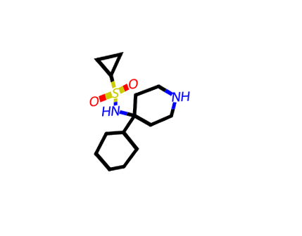 O=S(=O)(NC1(C2CCCCC2)CCNCC1)C1CC1